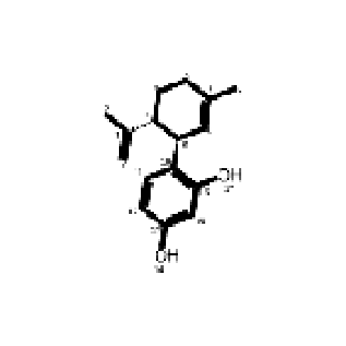 C=C(C)[C@@H]1CCC(C)=C[C@H]1c1ccc(O)cc1O